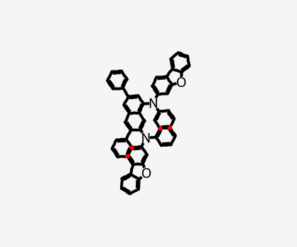 c1ccc(-c2cc(N(c3ccccc3)c3ccc4c(c3)oc3ccccc34)c3cc(N(c4ccccc4)c4ccc5c(c4)oc4ccccc45)c(-c4ccccc4)cc3c2)cc1